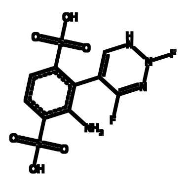 Nc1c(S(=O)(=O)O)ccc(S(=O)(=O)O)c1C1=CNN(F)N=C1F